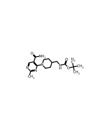 Cc1ncc(C(N)=O)c(N2CCC(CNC(=O)OC(C)(C)C)CC2)n1